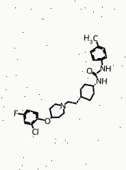 Cc1ccc(NC(=O)N[C@H]2CC[C@H](CCN3CCC(Oc4ccc(F)cc4Cl)CC3)CC2)cc1